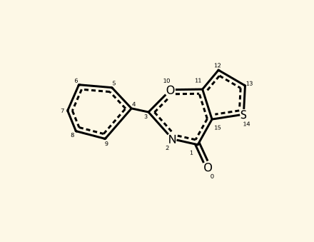 O=c1nc(-c2ccccc2)oc2ccsc12